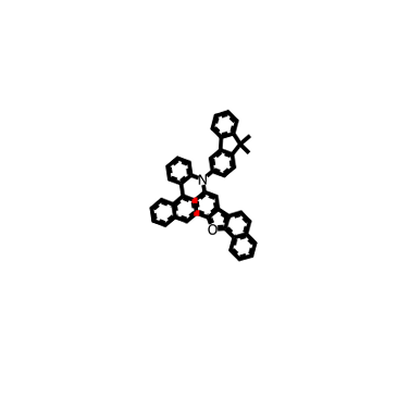 CC1(C)c2ccccc2-c2cc(N(c3ccc4oc5c6ccccc6ccc5c4c3)c3ccccc3-c3cccc4ccccc34)ccc21